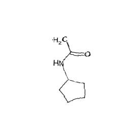 [CH2]C(=O)NC1CCCC1